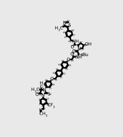 CN=Cc1ccc(N2C(=O)C(C)(C)N(c3ccc(OCc4ccc(-c5ccc(OCC(=O)N[C@H](C(=O)N6C[C@H](O)C[C@@H]6C(=O)NCc6ccc(-c7scnc7C)cc6)C(C)(C)C)cc5)cc4)cc3)C2=S)cc1C(F)(F)F